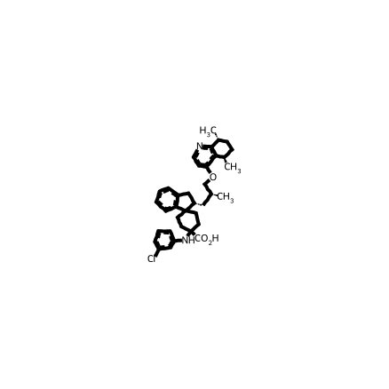 C[C@@H](COc1ccnc2c1[C@H](C)CC[C@H]2C)C[C@H]1Cc2ccccc2C12CCC(Nc1cccc(Cl)c1)(C(=O)O)CC2